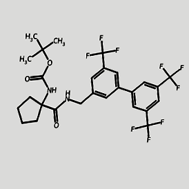 CC(C)(C)OC(=O)NC1(C(=O)NCc2cc(-c3cc(C(F)(F)F)cc(C(F)(F)F)c3)cc(C(F)(F)F)c2)CCCC1